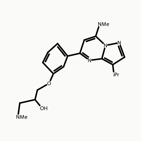 CNCC(O)COc1cccc(-c2cc(NC)n3ncc(C(C)C)c3n2)c1